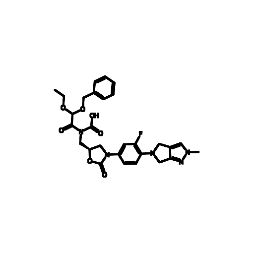 CCOC(OCc1ccccc1)C(=O)N(C[C@H]1CN(c2ccc(N3Cc4cn(C)nc4C3)c(F)c2)C(=O)O1)C(=O)O